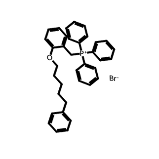 [Br-].c1ccc(CCCCCOc2ccccc2C[P+](c2ccccc2)(c2ccccc2)c2ccccc2)cc1